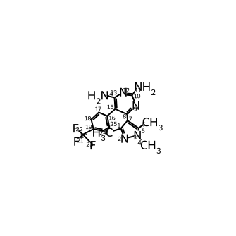 Cc1nn(C)c(C)c1-c1nc(N)nc(N)c1-c1ccc(C(F)(F)F)cc1